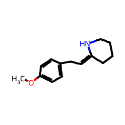 COc1ccc(CC=C2CCCCN2)cc1